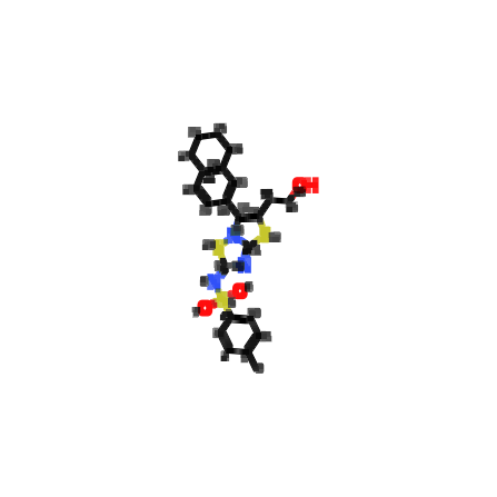 Cc1ccc(S(=O)(=O)/N=c2\nc3sc(CCO)c(-c4ccc5c(c4)CCCC5)n3s2)cc1